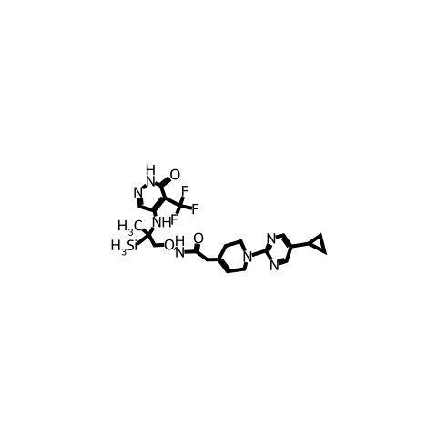 CC([SiH3])(CONC(=O)CC1=CCN(c2ncc(C3CC3)cn2)CC1)Nc1cn[nH]c(=O)c1C(F)(F)F